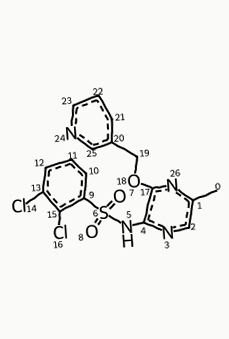 Cc1cnc(NS(=O)(=O)c2cccc(Cl)c2Cl)c(OCc2cccnc2)n1